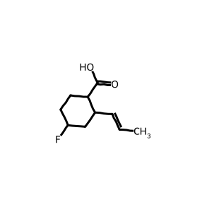 CC=CC1CC(F)CCC1C(=O)O